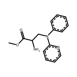 COC(=O)C(N)CN(c1ccccc1)c1ccccn1